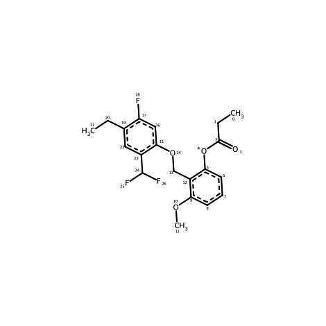 CCC(=O)Oc1cccc(OC)c1COc1cc(F)c(CC)cc1C(F)F